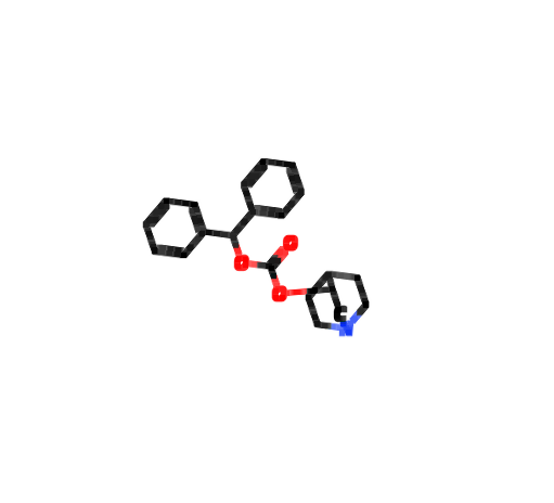 O=C(OC(c1ccccc1)c1ccccc1)OC1CN2CCC1CC2